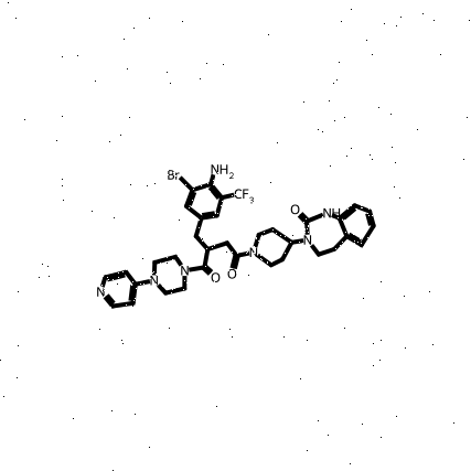 Nc1c(Br)cc(CC(CC(=O)N2CCC(N3CCc4ccccc4NC3=O)CC2)C(=O)N2CCN(c3ccncc3)CC2)cc1C(F)(F)F